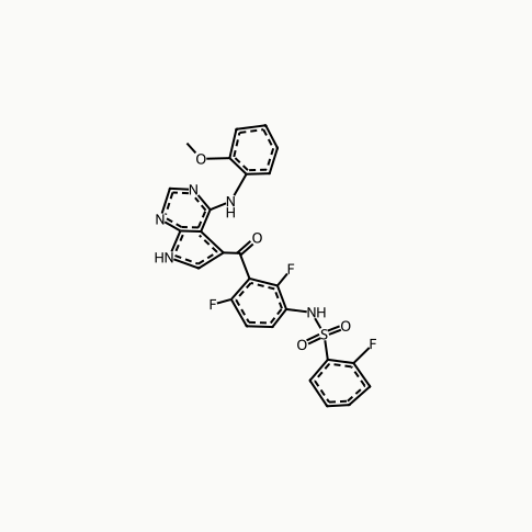 COc1ccccc1Nc1ncnc2[nH]cc(C(=O)c3c(F)ccc(NS(=O)(=O)c4ccccc4F)c3F)c12